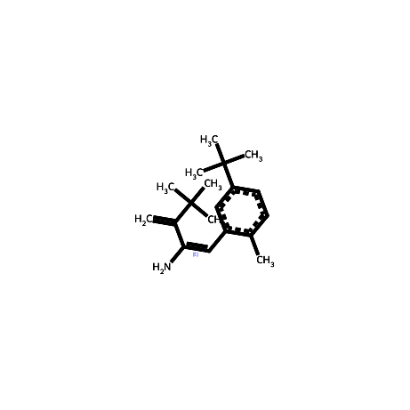 C=C(/C(N)=C\c1cc(C(C)(C)C)ccc1C)C(C)(C)C